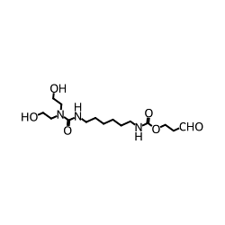 O=CCCOC(=O)NCCCCCCNC(=O)N(CCO)CCO